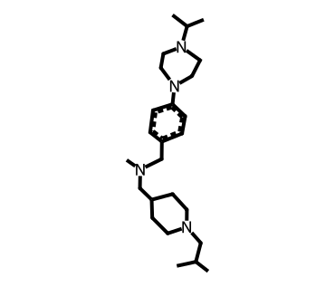 CC(C)CN1CCC(CN(C)Cc2ccc(N3CCN(C(C)C)CC3)cc2)CC1